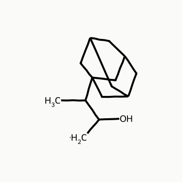 [CH2]C(O)C(C)C12CC3CC(CC(C3)C1)C2